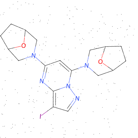 Ic1cnn2c(N3CC4CCC(C3)O4)cc(N3CC4CCC(C3)O4)nc12